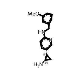 COc1cccc(CNc2ccc([C@@H]3C[C@H]3N)cn2)c1